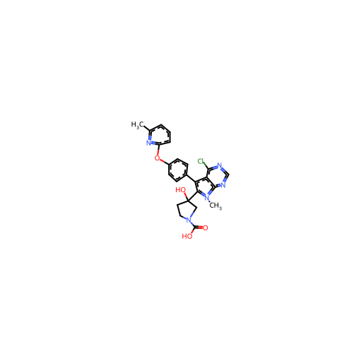 Cc1cccc(Oc2ccc(-c3c(C4(O)CCN(C(=O)O)C4)n(C)c4ncnc(Cl)c34)cc2)n1